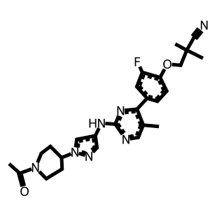 CC(=O)N1CCC(n2cc(Nc3ncc(C)c(-c4ccc(OCC(C)(C)C#N)c(F)c4)n3)cn2)CC1